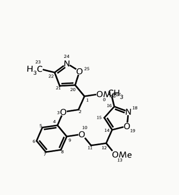 COC(COc1ccccc1OCC(OC)c1cc(C)no1)c1cc(C)no1